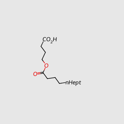 CCCCCCCCCCC(=O)OCCCC(=O)O